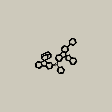 c1ccc(-c2ccc3c(c2)C2(Cc4ccccc4C2)c2cc(N(c4ccccc4)c4ccc5c(c4)C4(c6ccccc6-5)C5CC6CC(C5)CC4C6)ccc2-3)cc1